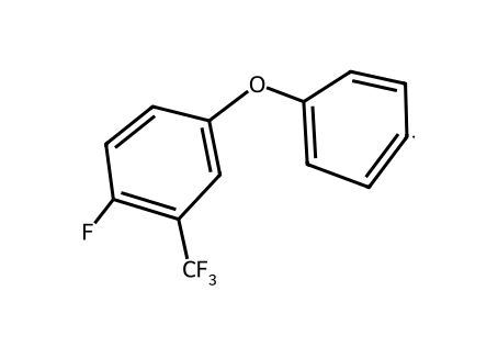 Fc1ccc(Oc2cc[c]cc2)cc1C(F)(F)F